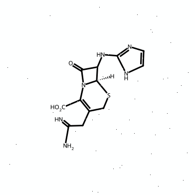 N=C(N)CC1=C(C(=O)O)N2C(=O)C(Nc3ncc[nH]3)[C@H]2SC1